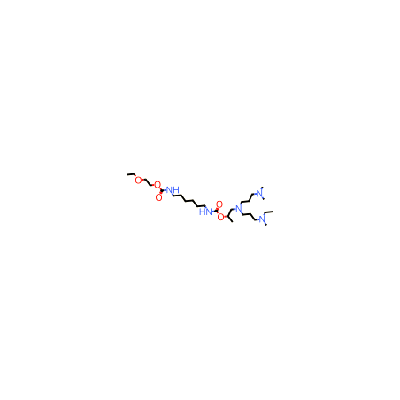 CCOCCOC(=O)NCCCCCCNC(=O)OC(C)CN(CCCN(C)C)CCCN(C)CC